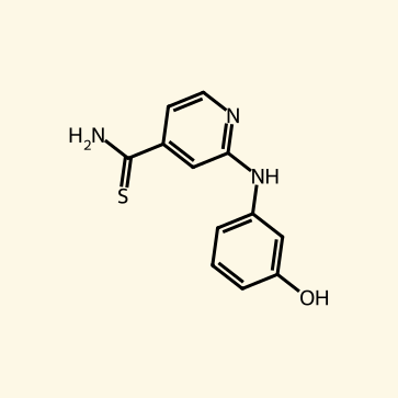 NC(=S)c1ccnc(Nc2cccc(O)c2)c1